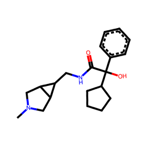 CN1CC2C(CNC(=O)C(O)(c3ccccc3)C3CCCC3)C2C1